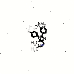 C=N/C=C\c1nc(-c2ccnc(N(C)C)c2)n(-c2ccc(F)cc2)c1C